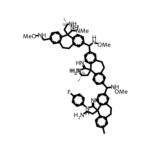 CNC(=N)C1(C[C@H](C)N)c2ccc(CNOC)cc2CCc2cc(C(NOC)c3ccc4c(c3)CCc3cc(C(NOC)c5ccc6c(c5)CCc5cc(C)ccc5C6(CCN)C(=N)Nc5ccc(F)cc5)ccc3C4(C[C@H](C)N)C(=N)N)ccc21